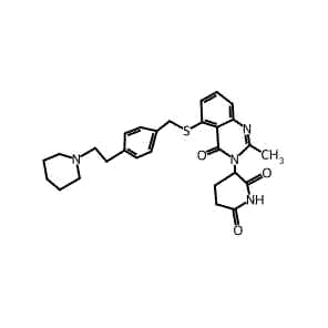 Cc1nc2cccc(SCc3ccc(CCN4CCCCC4)cc3)c2c(=O)n1C1CCC(=O)NC1=O